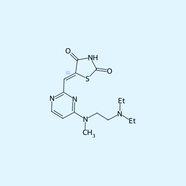 CCN(CC)CCN(C)c1ccnc(/C=C2\SC(=O)NC2=O)n1